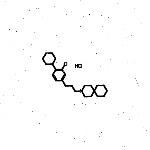 Cl.Clc1cc(CCCN2CCC3(CCCCC3)CC2)ccc1C1CCCCC1